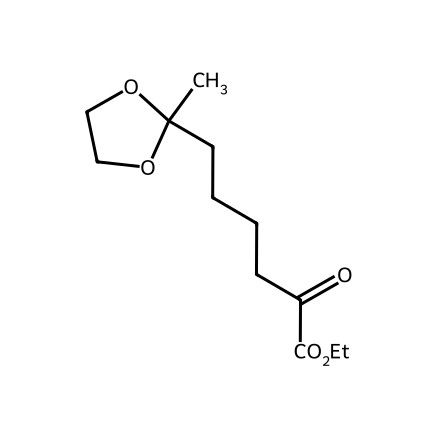 CCOC(=O)C(=O)CCCCC1(C)OCCO1